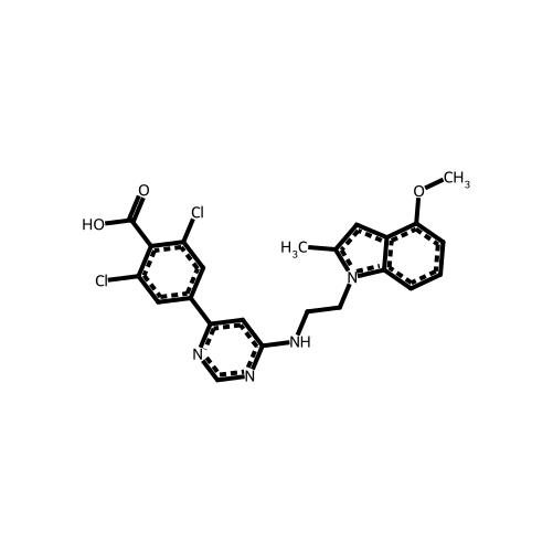 COc1cccc2c1cc(C)n2CCNc1cc(-c2cc(Cl)c(C(=O)O)c(Cl)c2)ncn1